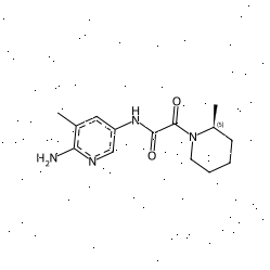 Cc1cc(NC(=O)C(=O)N2CCCC[C@@H]2C)cnc1N